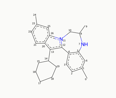 Cc1ccc2c(c1)NC(C)Cn1c-2c(C2CCCCC2)c2ccc(C)cc21